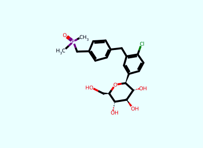 CP(C)(=O)Cc1ccc(Cc2cc([C@@H]3O[C@H](CO)[C@@H](O)[C@H](O)[C@H]3O)ccc2Cl)cc1